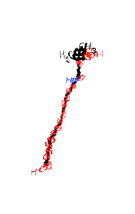 Cc1cc(OCCCCCC(=O)NCCOCCOCCOCCOCCOCCOCCOCCOCCOCCOCCOCCOCCC(=O)O)c2ccc3c(S(=O)(=O)O)cc(C)c4ccc1c2c43